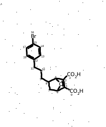 O=C(O)C1=C(C(=O)O)C2OC1CC2CCCc1ccc(Br)cc1